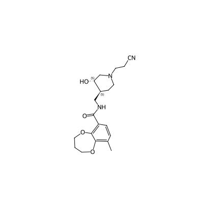 Cc1ccc(C(=O)NC[C@@H]2CCN(CCC#N)C[C@H]2O)c2c1OCCCO2